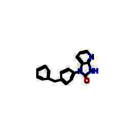 O=c1[nH]c2ncccc2n1-c1ccc(Cc2ccccc2)cc1